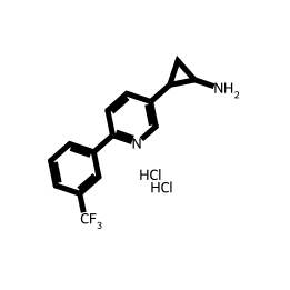 Cl.Cl.NC1CC1c1ccc(-c2cccc(C(F)(F)F)c2)nc1